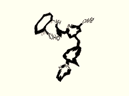 COc1cc(Cc2ccc(-n3cccn3)cc2)cc(C(=O)N[C@H]2CCCC[C@@H]2O)n1